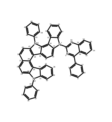 c1ccc(-c2nc(-n3c4ccccc4c4c3ccc3c5c6c(ccc7c6c6ccccc6n7-c6ccccc6)ccc5n(-c5ccccc5)c34)nc3ccccc23)cc1